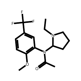 CCN1CCCC1N(C(C)=O)c1cc(C(F)(F)F)ccc1OC